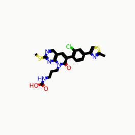 CSc1ncc2cc(-c3ccc(-c4csc(C)n4)cc3Cl)c(=O)n(CCCNC(=O)O)c2n1